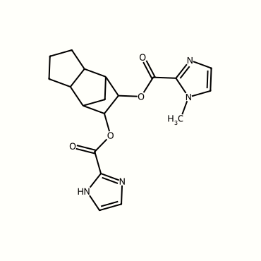 Cn1ccnc1C(=O)OC1C2CC(C3CCCC32)C1OC(=O)c1ncc[nH]1